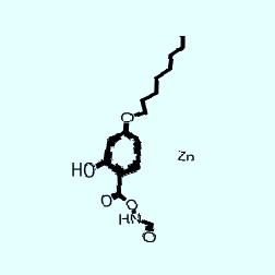 CCCCCCCCOc1ccc(C(=O)ONC=O)c(O)c1.[Zn]